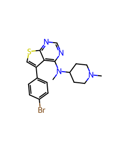 CN1CCC(N(C)c2ncnc3scc(-c4ccc(Br)cc4)c23)CC1